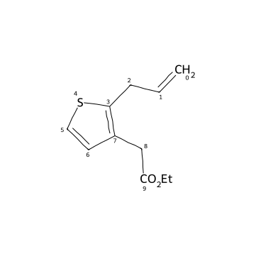 C=CCc1sccc1CC(=O)OCC